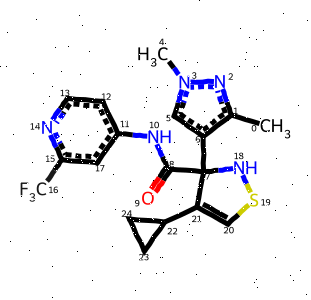 Cc1nn(C)cc1C1(C(=O)Nc2ccnc(C(F)(F)F)c2)NSC=C1C1CC1